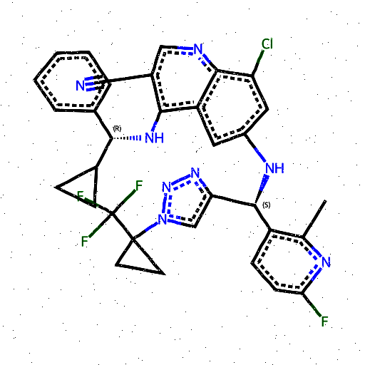 Cc1nc(F)ccc1[C@H](Nc1cc(Cl)c2ncc(C#N)c(N[C@@H](c3ccccc3)C3CC3)c2c1)c1cn(C2(C(F)(F)F)CC2)nn1